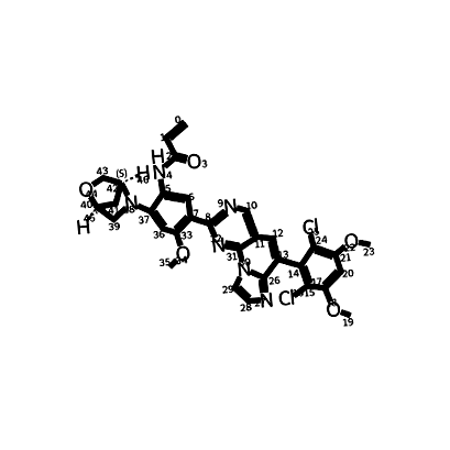 C=CC(=O)Nc1cc(-c2ncc3cc(-c4c(Cl)c(OC)cc(OC)c4Cl)c4nccn4c3n2)c(OC)cc1N1C[C@@H]2C[C@H]1CO2